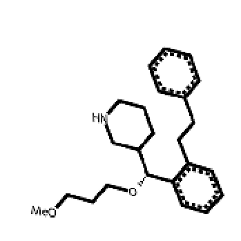 COCCCO[C@@H](c1ccccc1CCc1ccccc1)C1CCCNC1